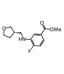 COC(=O)c1ccc(F)c(NC[C@H]2CCOC2)c1